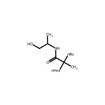 CCCCCCC(C)(CCCC)C(=O)NC(C)CO